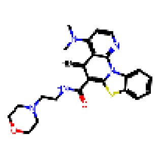 B=C1C(C(=O)NCCN2CCOCC2)=C2Sc3ccccc3N2c2nccc(N(C)C)c21